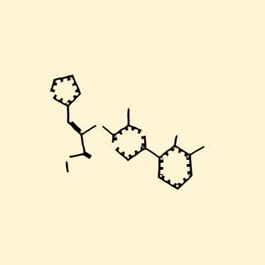 CC(C)(C)OC(=O)/C(=C/c1ccco1)Nc1ncc(-c2cccc(N)c2F)nc1Br